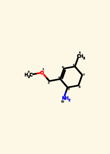 COCC1=CC(C)CCC1N